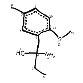 CCC(N)(O)c1cc(C)ccc1OC